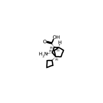 N[C@@H]1[C@H](C(=O)O)[C@H]2CC[C@]1(C1CCC1)C2